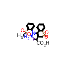 CS(=O)(=O)c1ccccc1N(N)C1=C(C(I)C(=O)O)CS(=O)(=O)c2ccccc21